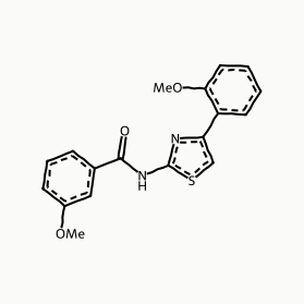 COc1cccc(C(=O)Nc2nc(-c3ccccc3OC)cs2)c1